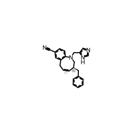 N#Cc1ccc2c(c1)C/C=C\[C@H](Cc1ccccc1)CN2Cc1cnc[nH]1